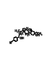 CC[C@]1(O)CC[C@@]2(C)C(=CC[C@H]3[C@@H]4CC[C@H](C(C)CC[C@H](O)c5ccc(C#N)cc5)[C@@]4(C)CC[C@@H]32)C1